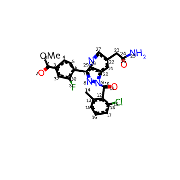 COC(=O)c1ccc(-c2nn(C(=O)c3c(C)cccc3Cl)c3cc(CC(N)=O)cnc23)c(F)c1